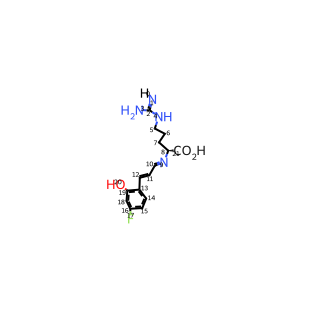 [H]/N=C(\N)NCCC[C@H](/N=C/C=C/c1ccc(F)cc1O)C(=O)O